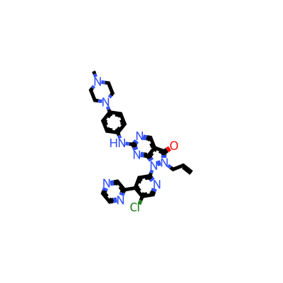 C=CCn1c(=O)c2cnc(Nc3ccc(N4CCN(C)CC4)cc3)nc2n1-c1cc(-c2cnccn2)c(Cl)cn1